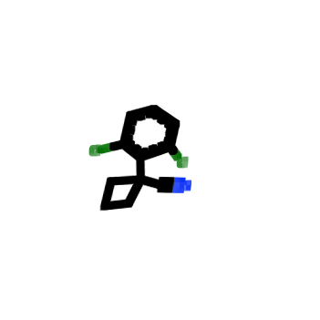 N#CC1(c2c(Cl)cccc2Cl)CCC1